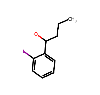 CCCC([O])c1ccccc1I